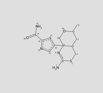 CC1CC2CSC(N)=NC2(c2[c]nc(C(N)=O)s2)CO1